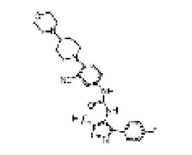 Cc1onc(-c2ccc(F)cc2)c1NC(=O)Nc1ccc(N2CCC(N3CCOCC3)CC2)c(C#N)c1